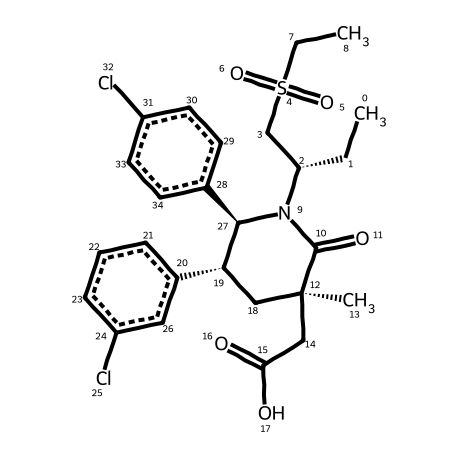 CC[C@@H](CS(=O)(=O)CC)N1C(=O)[C@@](C)(CC(=O)O)C[C@H](c2cccc(Cl)c2)[C@H]1c1ccc(Cl)cc1